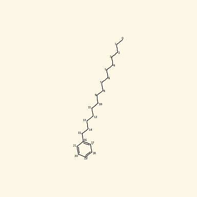 CCCCCCCCCCCCCCCCc1[c]c[c]cc1